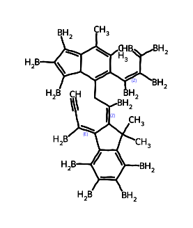 B=C(B)/C(B)=C(/B)C1=C(C/C(B)=C2\C(=C(\B)C#C)c3c(B)c(B)c(B)c(B)c3C2(C)C)C2C(B)=C(B)C(B)=C2C(C)=C1C